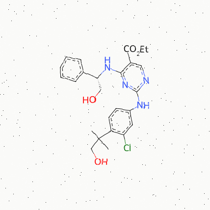 CCOC(=O)c1cnc(Nc2ccc(C(C)(C)CO)c(Cl)c2)nc1N[C@H](CO)c1ccccc1